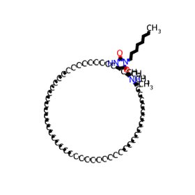 CCCCCCCCN1C(=O)NC2(CCCCCCCCCCCCCCCCCCCCCCCCCCCCCCCCCCCCCCCCCCCCCCCC(C)(C)NC(C)(C)C2)C1=O